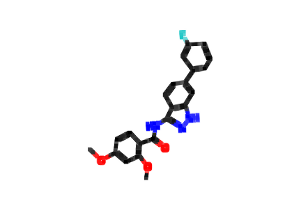 COc1ccc(C(=O)Nc2n[nH]c3cc(-c4cccc(F)c4)ccc23)c(OC)c1